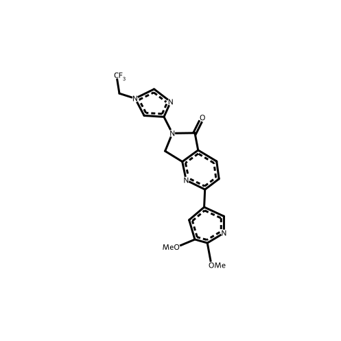 COc1cc(-c2ccc3c(n2)CN(c2cn(CC(F)(F)F)cn2)C3=O)cnc1OC